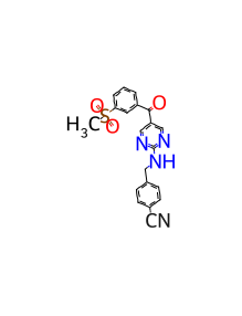 CS(=O)(=O)c1cccc(C(=O)c2cnc(NCc3ccc(C#N)cc3)nc2)c1